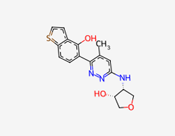 Cc1cc(N[C@@H]2COC[C@@H]2O)nnc1-c1ccc2sccc2c1O